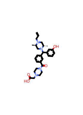 C=CCN1C[C@H](C)N(C(c2cccc(O)c2)c2cccc(C(=O)N3CCN(CC(=O)O)CC3)c2)C[C@H]1C